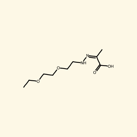 CCOCCOCCNN=C(C)C(=O)O